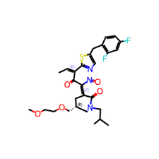 C/C=C(\C(=O)/C(N=O)=C1\C[C@@H](COCCOC)CN(CC(C)C)C1=O)c1ncc(Cc2ccc(F)cc2F)s1